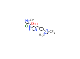 CC(C)n1ncc(Cl)c1C(=O)Nc1ccnc(Cc2ccc(-c3nc(C(F)(F)F)cn3C)cc2)c1O